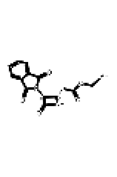 CC(=O)COC(=O)C[C@@H]1NC(=O)[C@H]1N1C(=O)c2ccccc2C1=O